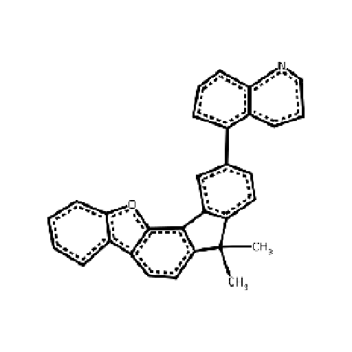 CC1(C)c2ccc(-c3cccc4ncccc34)cc2-c2c1ccc1c2oc2ccccc21